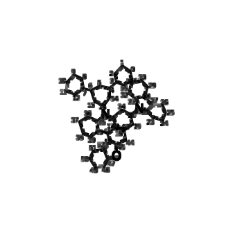 c1ccc(-c2cc(-c3ccccc3)cc(N(c3cccc(-n4c5ccccc5c5ccccc54)c3)c3ccccc3-c3cccc4oc5ccccc5c34)c2)cc1